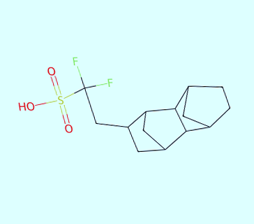 O=S(=O)(O)C(F)(F)CC1CC2CC1C1C3CCC(C3)C21